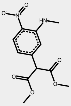 CNc1cc(C(C(=O)OC)C(=O)OC)ccc1[N+](=O)[O-]